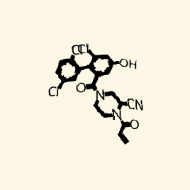 C=CC(=O)N1CCN(C(=O)c2cc(O)cc(Cl)c2-c2cc(Cl)ccc2Cl)CC1C#N